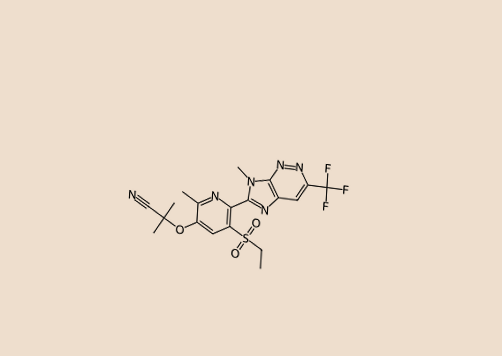 CCS(=O)(=O)c1cc(OC(C)(C)C#N)c(C)nc1-c1nc2cc(C(F)(F)F)nnc2n1C